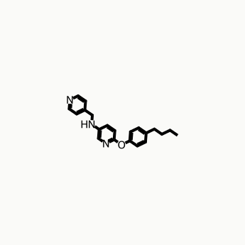 CCCCc1ccc(Oc2ccc(NCc3ccncc3)cn2)cc1